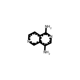 Nc1cnc(N)c2ccncc12